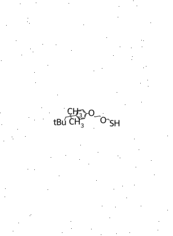 CC(C)(C)CC(C)(C)c1ccc(OCCOCS)cc1